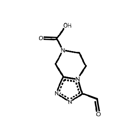 O=Cc1nnc2n1CCN(C(=O)O)C2